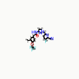 CCc1cc(CC(=O)Nc2ccn(Cc3ccc(F)c(C#N)n3)n2)ccc1OCC(F)(F)F